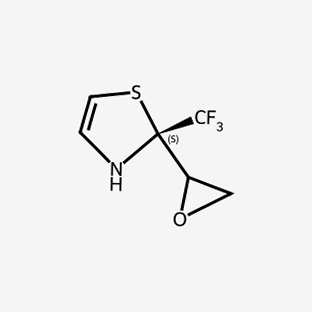 FC(F)(F)[C@@]1(C2CO2)NC=CS1